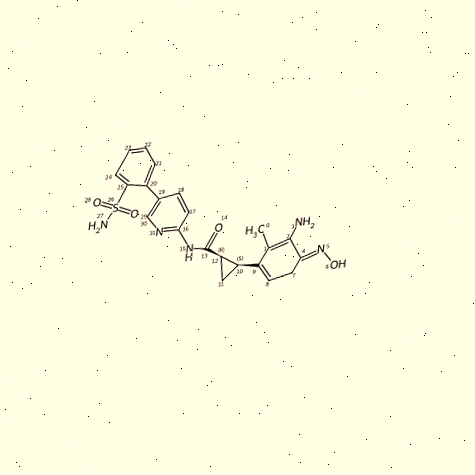 CC1=C(N)C(=NO)CC=C1[C@H]1C[C@H]1C(=O)Nc1ccc(-c2ccccc2S(N)(=O)=O)cn1